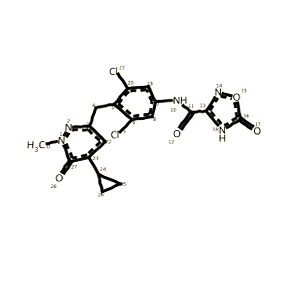 Cn1nc(Cc2c(Cl)cc(NC(=O)c3noc(=O)[nH]3)cc2Cl)cc(C2CC2)c1=O